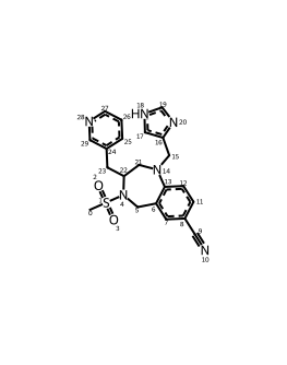 CS(=O)(=O)N1Cc2cc(C#N)ccc2N(Cc2c[nH]cn2)CC1Cc1cccnc1